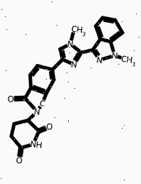 Cn1cc(-c2ccc3c(c2)CN(C2CCC(=O)NC2=O)C3=O)nc1-c1nn(C)c2ccccc12